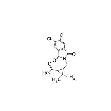 CC1(C)C(CN2C(=O)c3cc(Cl)c(Cl)cc3C2=O)C1C(=O)O